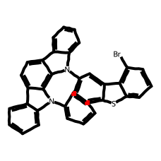 Brc1cccc2sc3ccc(-n4c5ccccc5c5ccc6c7ccccc7n(-c7ccccc7)c6c54)cc3c12